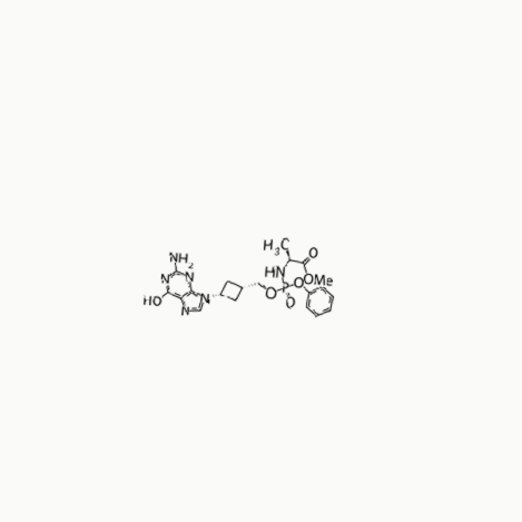 COC(=O)[C@H](C)NP(=O)(OC[C@H]1C[C@@H](n2cnc3c(O)nc(N)nc32)C1)Oc1ccccc1